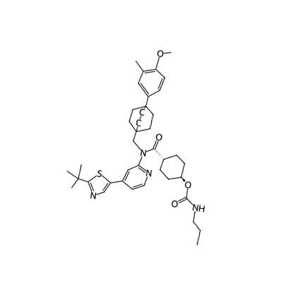 CCCNC(=O)O[C@H]1CC[C@H](C(=O)N(CC23CCC(c4ccc(OC)c(C)c4)(CC2)CC3)c2cc(-c3cnc(C(C)(C)C)s3)ccn2)CC1